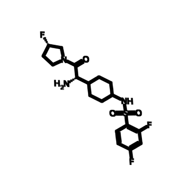 N[C@H](C(=O)N1CC[C@H](F)C1)C1CCC(NS(=O)(=O)c2ccc(F)cc2F)CC1